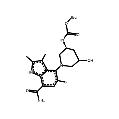 Cc1[nH]c2c(C(N)=O)cc(F)c(N3C[C@H](O)C[C@H](NC(=O)OC(C)(C)C)C3)c2c1C